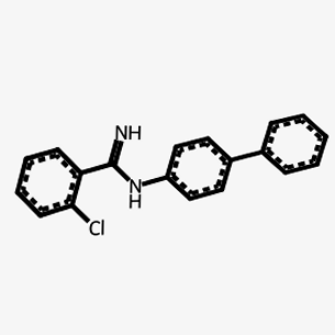 N=C(Nc1ccc(-c2ccccc2)cc1)c1ccccc1Cl